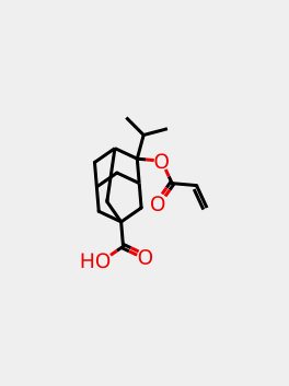 C=CC(=O)OC1(C(C)C)C2CC3CC1CC(C(=O)O)(C3)C2